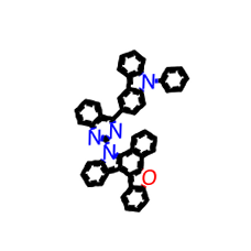 c1ccc(-n2c3ccccc3c3cc(-c4nc(-n5c6ccccc6c6c7c8ccccc8oc7c7ccccc7c65)nc5ccccc45)ccc32)cc1